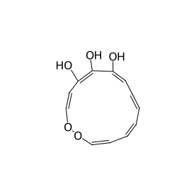 OC1=CC=CC=CC=COOC=CC(O)=C1O